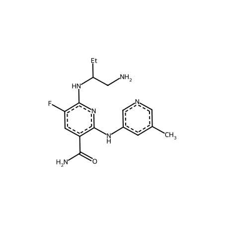 CCC(CN)Nc1nc(Nc2cncc(C)c2)c(C(N)=O)cc1F